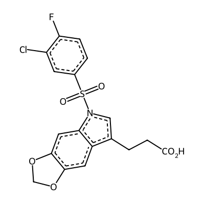 O=C(O)CCc1cn(S(=O)(=O)c2ccc(F)c(Cl)c2)c2cc3c(cc12)OCO3